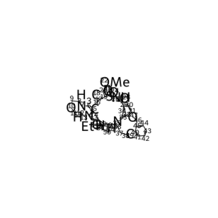 CCO[C@]1(CN2CCN3CCOC[C@@H]3C2)CCC[C@H](C)[C@@H](CCOC)S(=O)(=O)NC(=O)c2ccc3c(c2)N(CCCCc2ccccc2CO3)C[C@@H]2CC[C@H]21